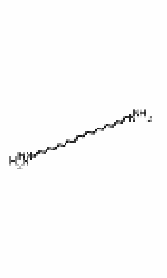 N[N]CCCCCCCCCCCCCCCCCCCCNN